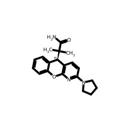 CC(C)(C(N)=O)[C@@H]1c2ccccc2Oc2nc(N3CCCC3)ccc21